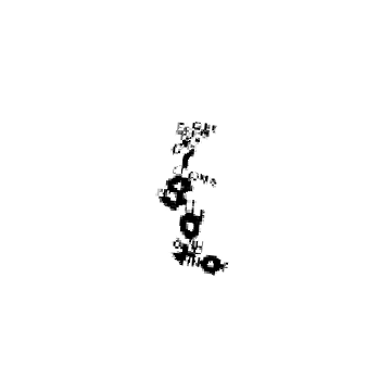 CCOP(=O)(CN(CCCOc1cc2nccc(Oc3ccc(NC(=O)C4(C(=O)Nc5ccc(F)cc5)CC4)cc3F)c2cc1OC)C(=O)CC)OCC